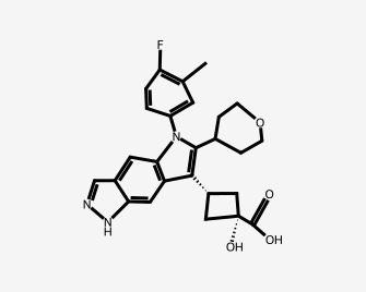 Cc1cc(-n2c(C3CCOCC3)c([C@H]3C[C@](O)(C(=O)O)C3)c3cc4[nH]ncc4cc32)ccc1F